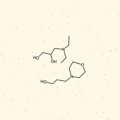 CCN(CC)CC(O)CO.OCCCN1CCOCC1